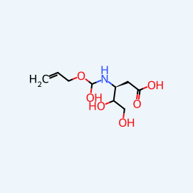 C=CCOC(O)N[C@@H](CC(=O)O)C(O)CO